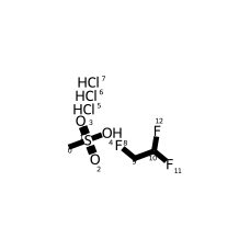 CS(=O)(=O)O.Cl.Cl.Cl.FCC(F)F